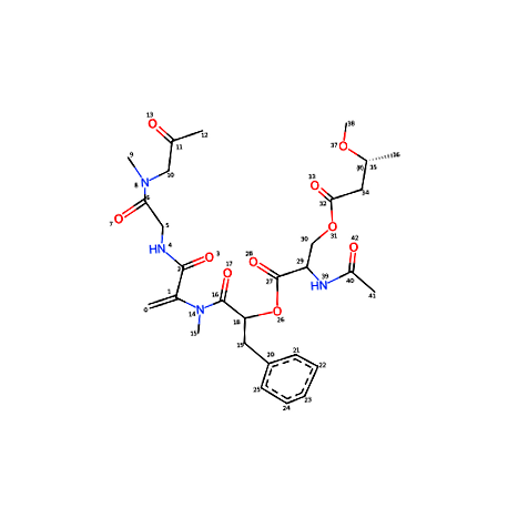 C=C(C(=O)NCC(=O)N(C)CC(C)=O)N(C)C(=O)C(Cc1ccccc1)OC(=O)C(COC(=O)C[C@@H](C)OC)NC(C)=O